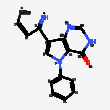 CN/C=C\C(=N)c1cn(-c2ccccc2)c2c(=O)[nH]cnc12